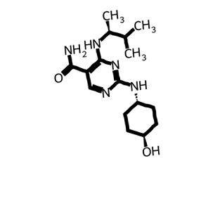 CC(C)[C@H](C)Nc1nc(N[C@H]2CC[C@H](O)CC2)ncc1C(N)=O